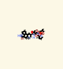 CC(C)C[C@H]1C(=O)N2CCC[C@H]2[C@]2(OS(C)(=O)=O)O[C@](NC(=O)[C@@H]3C=C4c5cccc6[nH]c(Br)c(c56)C[C@H]4N(C)C3)(C(C)C)C(=O)N12